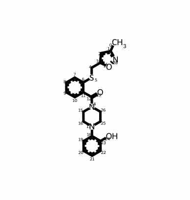 Cc1cc(CSc2ccccc2C(=O)N2CCN(c3ccccc3O)CC2)on1